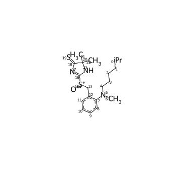 CC(C)CCCCN(C)c1ccccc1C[S+]([O-])C1=NC(=S)C(C)(C)N1